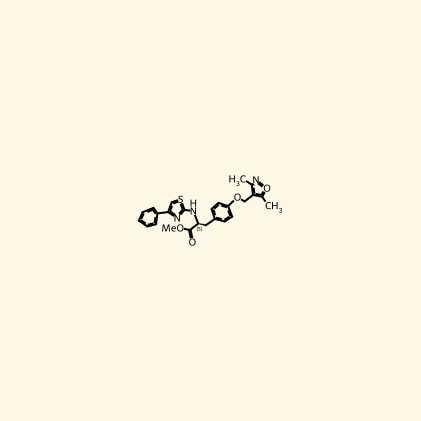 COC(=O)[C@H](Cc1ccc(OCc2c(C)noc2C)cc1)Nc1nc(-c2ccccc2)cs1